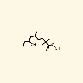 CCC(O)CC(C)CCC(C)(C)C(=O)OO